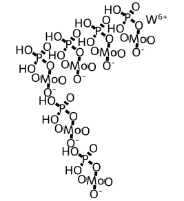 O=P(O)(O)[O][Mo](=[O])(=[O])[O-].O=P(O)(O)[O][Mo](=[O])(=[O])[O-].O=P(O)(O)[O][Mo](=[O])(=[O])[O-].O=P(O)(O)[O][Mo](=[O])(=[O])[O-].O=P(O)(O)[O][Mo](=[O])(=[O])[O-].O=P(O)(O)[O][Mo](=[O])(=[O])[O-].[W+6]